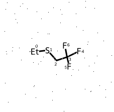 C[CH]SCC(F)(F)F